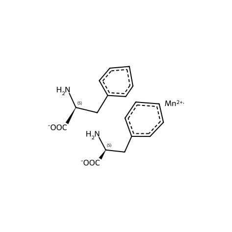 N[C@@H](Cc1ccccc1)C(=O)[O-].N[C@@H](Cc1ccccc1)C(=O)[O-].[Mn+2]